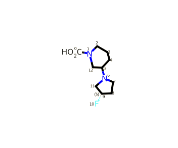 O=C(O)N1CCCC(N2CC[C@H](F)C2)C1